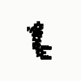 COc1ccc(-c2csc(N3CCC(S(=O)(=O)c4ccccc4C(F)(F)F)CC3)n2)c(OC)c1